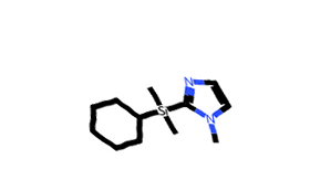 Cn1ccnc1[Si](C)(C)C1CCCCC1